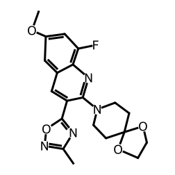 COc1cc(F)c2nc(N3CCC4(CC3)OCCO4)c(-c3nc(C)no3)cc2c1